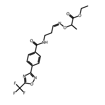 CCOC(=O)C(C)O/N=C\CCNC(=O)c1ccc(-c2noc(C(F)(F)F)n2)cc1